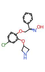 O/N=C(/COc1ccc(Cl)cc1OC1CNC1)c1ccccc1